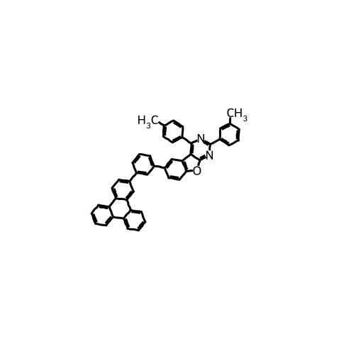 Cc1ccc(-c2nc(-c3cccc(C)c3)nc3oc4ccc(-c5cccc(-c6ccc7c8ccccc8c8ccccc8c7c6)c5)cc4c23)cc1